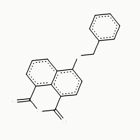 O=C1OC(=O)c2ccc(OCc3ccccc3)c3cccc1c23